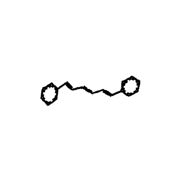 [C](=CC=Cc1ccccc1)C=Cc1ccccc1